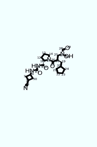 N#CC1CC(NC(=O)NC(=O)[C@@H]2CCCN2C(=O)[C@H](CC2CCCC2)CN(O)C=O)C1